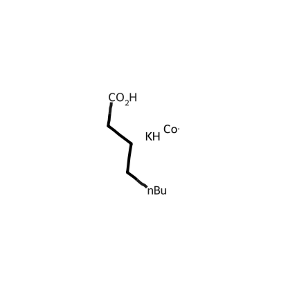 CCCCCCCC(=O)O.[Co].[KH]